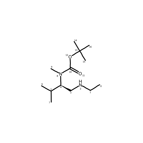 CCNC[C@@H](C(C)C)N(C)C(=O)OC(C)(C)C